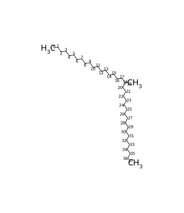 CCCCCCCCCCCCCCCCCC[C](C)CCCCCCCCCCCCCCCCCC